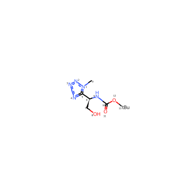 Cn1nnnc1[C@H](CO)NC(=O)OC(C)(C)C